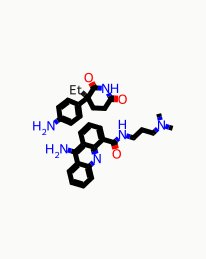 CCC1(c2ccc(N)cc2)CCC(=O)NC1=O.CN(C)CCCNC(=O)c1cccc2c(N)c3ccccc3nc12